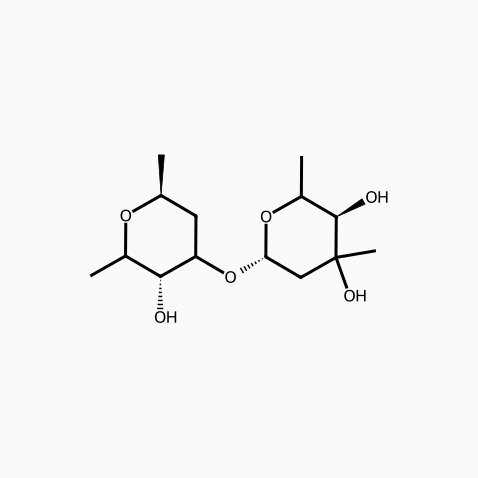 CC1O[C@@H](C)CC(O[C@H]2CC(C)(O)[C@H](O)C(C)O2)[C@@H]1O